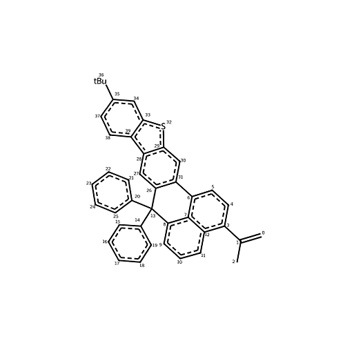 C=C(C)c1ccc2c3c(cccc13)C(c1ccccc1)(c1ccccc1)c1cc3c(cc1-2)sc1cc(C(C)(C)C)ccc13